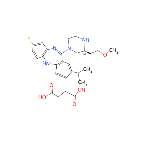 COCC[C@H]1CN(C2=Nc3cc(F)ccc3Nc3ccc(C(C)C)cc32)CCN1.O=C(O)CCC(=O)O